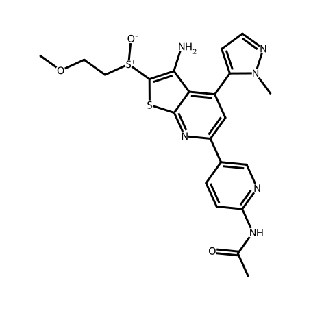 COCC[S+]([O-])c1sc2nc(-c3ccc(NC(C)=O)nc3)cc(-c3ccnn3C)c2c1N